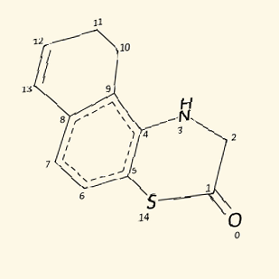 O=C1CNc2c(ccc3c2CCC=C3)S1